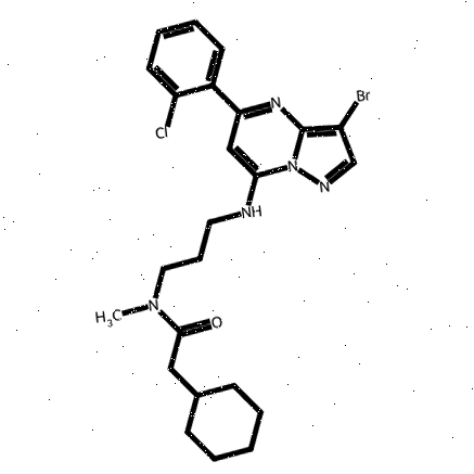 CN(CCCNc1cc(-c2ccccc2Cl)nc2c(Br)cnn12)C(=O)CC1CCCCC1